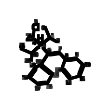 CC(C)[PH]([Zr][Cl])(C(=Cc1ccccc1)c1ccccc1)C(C)C